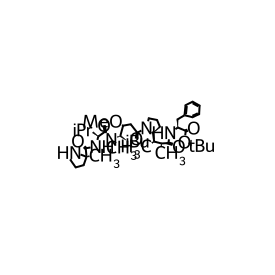 CC[C@H](C)[C@@H]([C@@H](CC(=O)N1CCC[C@H]1[C@H](C)[C@@H](C)C(=O)N[C@@H](Cc1ccccc1)C(=O)OC(C)(C)C)OC)N(C)C(=O)[C@@H](NC(=O)[C@]1(C)CCCN1)C(C)C